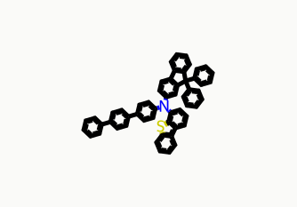 c1ccc(-c2ccc(-c3ccc(N(c4ccc5c(c4)C(c4ccccc4)(c4ccccc4)c4ccccc4-5)c4cccc5c4sc4ccccc45)cc3)cc2)cc1